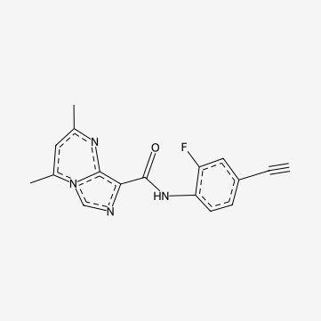 C#Cc1ccc(NC(=O)c2ncn3c(C)cc(C)nc23)c(F)c1